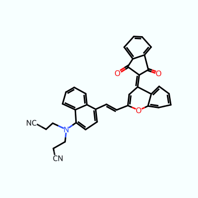 N#CCCN(CCC#N)c1ccc(C=CC2=CC(=C3C(=O)c4ccccc4C3=O)c3ccccc3O2)c2ccccc12